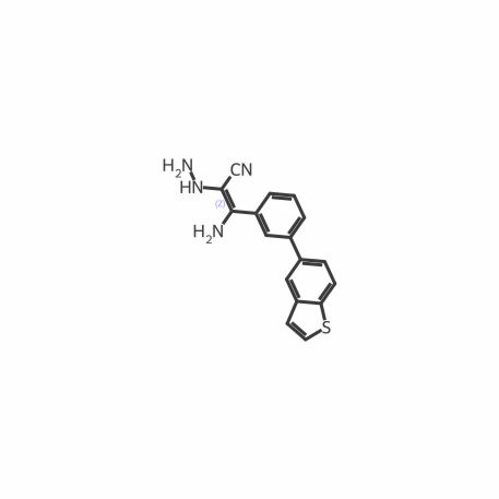 N#C/C(NN)=C(/N)c1cccc(-c2ccc3sccc3c2)c1